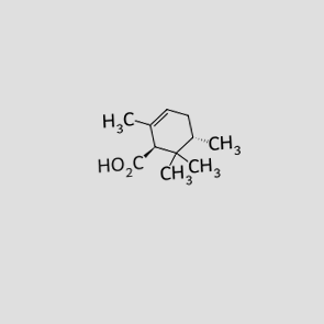 CC1=CC[C@H](C)C(C)(C)[C@H]1C(=O)O